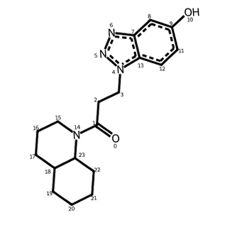 O=C(CCn1nnc2cc(O)ccc21)N1CCCC2CCCCC21